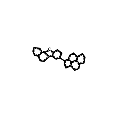 c1ccc2c(c1)ccc1c3cc(-c4ccc5ccc6cccc7ccc4c5c67)ccc3oc21